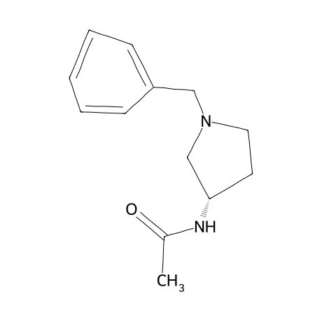 CC(=O)N[C@H]1CCN(Cc2ccccc2)C1